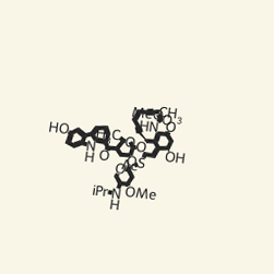 CC#C/C=C\C#C[C@H](OC1OC(C)C(C(=O)c2cccc3c2[nH]c2ccc(O)cc23)CC1OC1CC(OC)C(NC(C)C)CO1)C1=C(NC(=O)OC)C(=O)C[C@H](O)/C1=C/CSC(C)=O